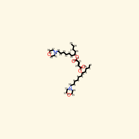 CCCCC(CCCCCCN1CCOCC1)OC(=O)/C=C/C(=O)OC(CCCC)CCCCCCN1CCOCC1